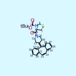 CC(C)(C)OC(=O)N1CSCC1C(=O)N1CCC(=C2c3ccccc3C=Cc3ccccc32)CC1